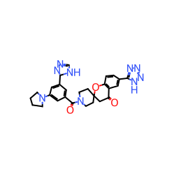 O=C1CC2(CCN(C(=O)c3cc(-c4nnc[nH]4)cc(N4CCCC4)c3)CC2)Oc2ccc(-c3nnn[nH]3)cc21